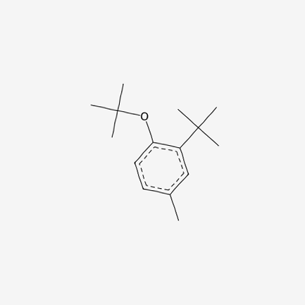 Cc1ccc(OC(C)(C)C)c(C(C)(C)C)c1